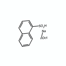 CCCCCCC[CH2][Na].O=S(=O)(O)c1cccc2ccccc12